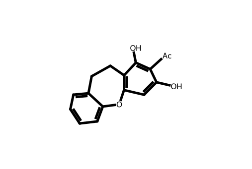 CC(=O)c1c(O)cc2c(c1O)CCc1ccccc1O2